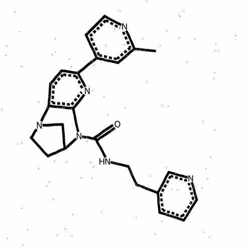 Cc1cc(-c2ccc3c(n2)N(C(=O)NCCc2cccnc2)C2CCN3C2)ccn1